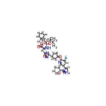 CC(C)(C)OC(=O)N[C@@H](Cc1nc(-c2ccc(Oc3ncc(-c4ccnn4C4CCCCO4)cc3F)cc2)no1)C(=O)OCc1ccccc1